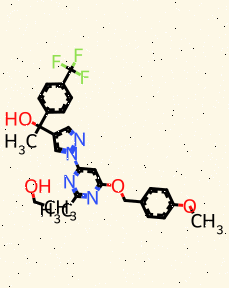 CCO.COc1ccc(COc2cc(-n3cc(C(C)(O)c4ccc(C(F)(F)F)cc4)cn3)nc(C)n2)cc1